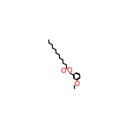 CCCCCCCCCCCC(=O)OCc1cccc(OCC)c1